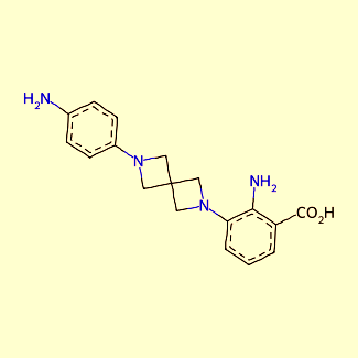 Nc1ccc(N2CC3(C2)CN(c2cccc(C(=O)O)c2N)C3)cc1